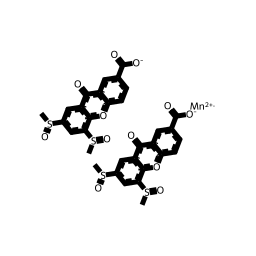 CS(=O)c1cc(S(C)=O)c2oc3ccc(C(=O)[O-])cc3c(=O)c2c1.CS(=O)c1cc(S(C)=O)c2oc3ccc(C(=O)[O-])cc3c(=O)c2c1.[Mn+2]